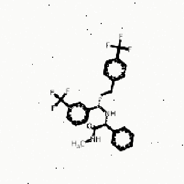 CNC(=O)[C@@H](N[C@@H](CCc1ccc(C(F)(F)F)cc1)c1cccc(C(F)(F)F)c1)c1ccccc1